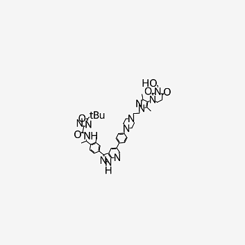 Cc1cc(-c2n[nH]c3ncc(-c4ccc(N5CCN(CCn6nc(C)c(N7CCC(=O)N(CO)C7=O)c6C)CC5)cc4)cc23)ccc1C(C)NC(=O)c1noc(C(C)(C)C)n1